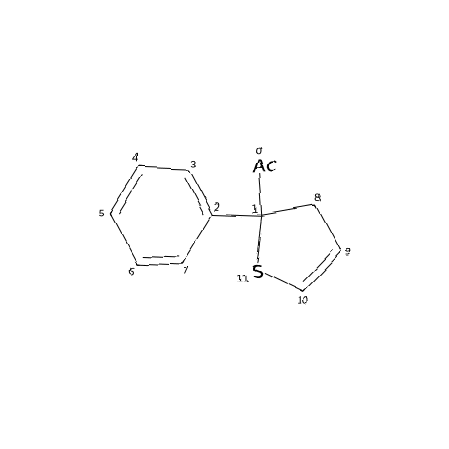 CC(=O)C1(c2ccccc2)CC=CS1